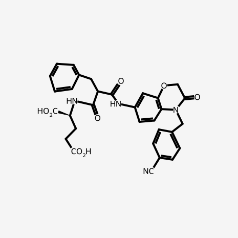 N#Cc1ccc(CN2C(=O)COc3cc(NC(=O)C(Cc4ccccc4)C(=O)N[C@@H](CCC(=O)O)C(=O)O)ccc32)cc1